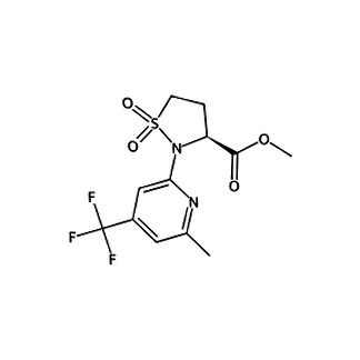 COC(=O)[C@@H]1CCS(=O)(=O)N1c1cc(C(F)(F)F)cc(C)n1